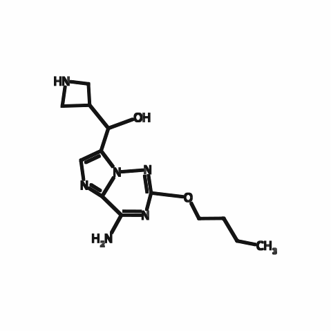 CCCCOc1nc(N)c2ncc(C(O)C3CNC3)n2n1